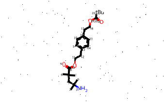 CC(C)(N)CC(C)(C)C(=O)OCCc1ccc(CCOC(=O)C(C)(C)C)cc1